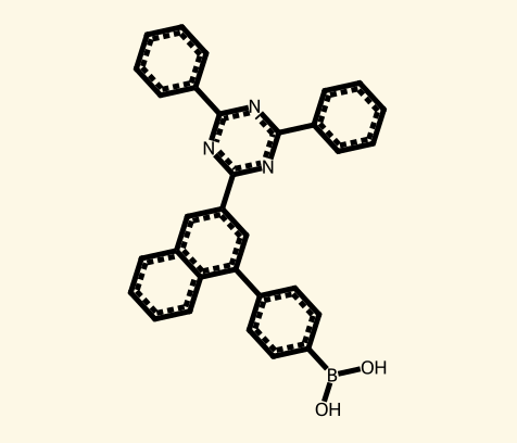 OB(O)c1ccc(-c2cc(-c3nc(-c4ccccc4)nc(-c4ccccc4)n3)cc3ccccc23)cc1